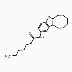 CCCCCCC(=O)Nc1ccc2c(c1)C1CCCCCCC1O2